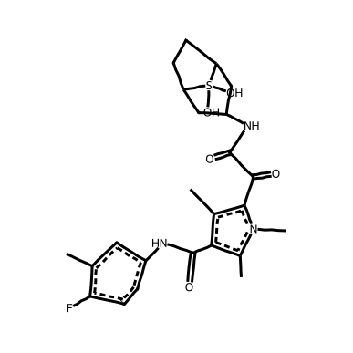 Cc1cc(NC(=O)c2c(C)c(C(=O)C(=O)NC3CC4CCC(C3)S4(O)O)n(C)c2C)ccc1F